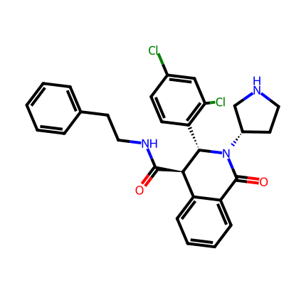 O=C(NCCc1ccccc1)[C@@H]1c2ccccc2C(=O)N([C@H]2CCNC2)[C@H]1c1ccc(Cl)cc1Cl